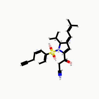 C#CC/C=C\C(=C/C)S(=O)(=O)N1C(C(=O)CC#N)=C/C(=C/C=C(C)C)C1C(C)C